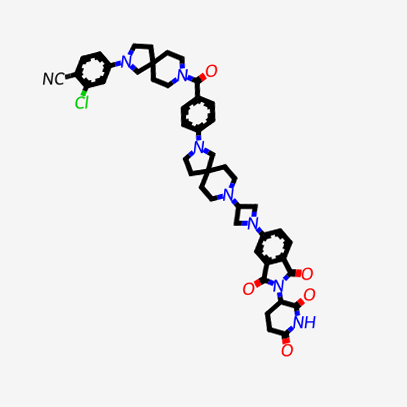 N#Cc1ccc(N2CCC3(CCN(C(=O)c4ccc(N5CCC6(CCN(C7CN(c8ccc9c(c8)C(=O)N(C8CCC(=O)NC8=O)C9=O)C7)CC6)C5)cc4)CC3)C2)cc1Cl